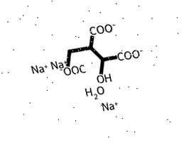 O.O=C([O-])CC(C(=O)[O-])C(O)C(=O)[O-].[Na+].[Na+].[Na+]